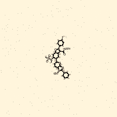 CNC(=O)c1c(-c2ccc(F)cc2)oc2cc(N(C)S(C)(=O)=O)c(-c3ccc4c(n3)nc(-c3ccccc3)n4C(C)(C)C)cc12